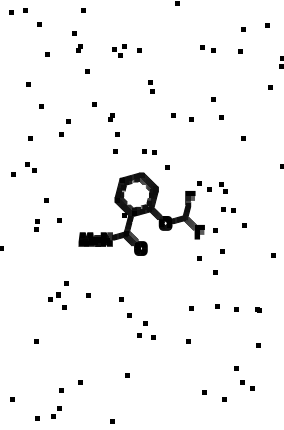 CNC(=O)c1ccccc1OC(F)F